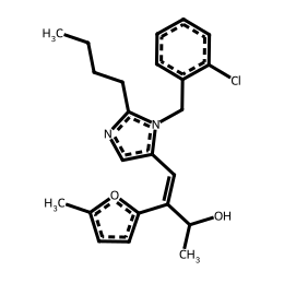 CCCCc1ncc(C=C(c2ccc(C)o2)C(C)O)n1Cc1ccccc1Cl